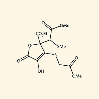 CCOC(=O)C1(C(SC)C(=O)OC)OC(=O)C(O)=C1SCC(=O)OC